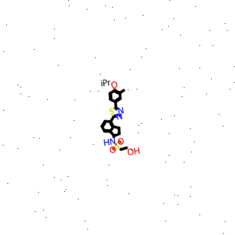 Cc1cc(-c2nnc(-c3cccc4c3CCC4NS(=O)(=O)CCO)s2)ccc1OC(C)C